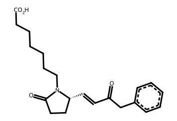 O=C(O)CCCCCCN1C(=O)CC[C@H]1/C=C/C(=O)Cc1ccccc1